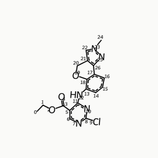 CCOC(=O)c1cnc(Cl)nc1Nc1cccc2c1OCc1cn(C)nc1-2